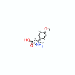 COc1ccc(C(C)(N)CC(=O)O)cc1